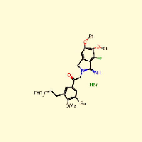 Br.CCOC(=O)CCc1cc(C(=O)CN2Cc3cc(OCC)c(OCC)c(F)c3C2=N)cc(C(C)(C)C)c1OC